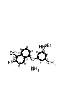 CCNc1cc(C)cc(Oc2cccc3c(CC)c(CC)ccc23)c1.N